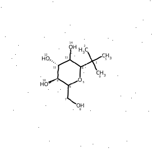 CC(C)(C)C1OC(CO)[C@@H](O)[C@H](O)C1O